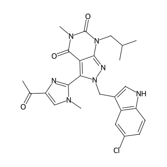 CC(=O)c1cn(C)c(-c2c3c(=O)n(C)c(=O)n(CC(C)C)c3nn2Cc2c[nH]c3ccc(Cl)cc23)n1